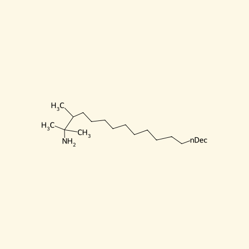 CCCCCCCCCCCCCCCCCCCCC(C)C(C)(C)N